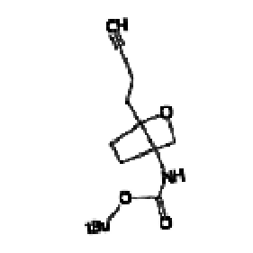 C#CCCC12CCC1(NC(=O)OC(C)(C)C)CO2